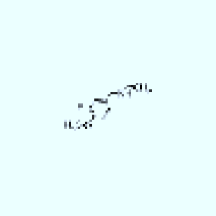 C=CNCc1ccc(OC)c(F)c1